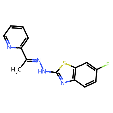 C/C(=N\Nc1nc2ccc(F)cc2s1)c1ccccn1